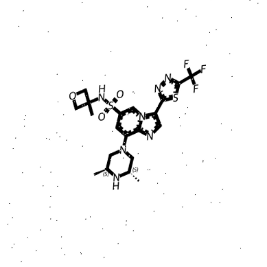 C[C@H]1CN(c2cc(S(=O)(=O)NC3(C)COC3)cn3c(-c4nnc(C(F)(F)F)s4)cnc23)C[C@H](C)N1